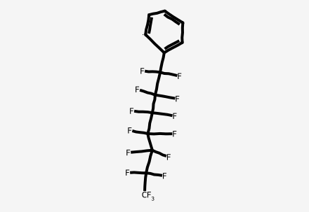 FC(F)(F)C(F)(F)C(F)(F)C(F)(F)C(F)(F)C(F)(F)C(F)(F)c1[c]cccc1